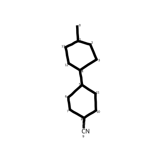 CC1CCC(C2CCC(C#N)CC2)CC1